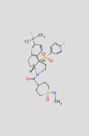 CN=S1(=O)CCC(C(=O)N2CC[C@@]3(S(=O)(=O)c4ccc(F)cc4)c4ccc(C(F)(C(F)(F)F)C(F)(F)F)cc4CC[C@@H]23)CC1